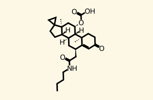 CCCCNC(=O)C[C@H]1C[C@@H]2[C@H]([C@@H](OC(=O)O)C[C@@]3(C)[C@H]2CCC32CC2)[C@@]2(C)CCC(=O)C=C12